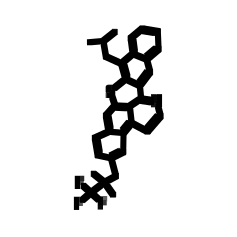 CC(C)Cc1c2c(cc3ccccc13)-c1nccc3c1c(cc1ccc(CC(C)(C)C(F)(F)F)cc13)S2